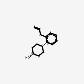 C=CCc1ccccc1[C@H]1CC[C@H](O)CC1